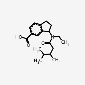 CCN(C(=O)CC(C)C(C)C)C1CCc2ccc(C(=O)O)cc21